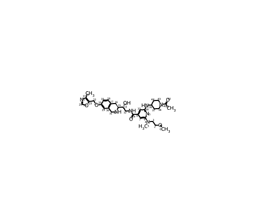 COCCN(C)c1cc(C(=O)NC[C@@H](O)[C@@H]2Cc3ccc(OCc4ocnc4C)cc3CN2)cc(NC2CCN(C(C)=O)CC2)n1